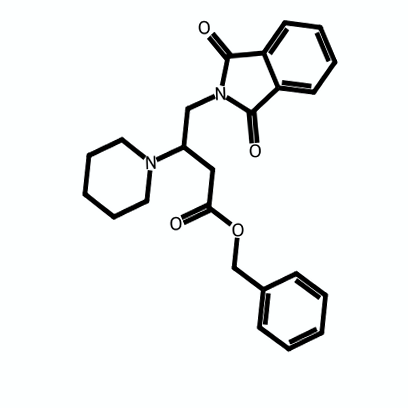 O=C(CC(CN1C(=O)c2ccccc2C1=O)N1CCCCC1)OCc1ccccc1